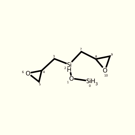 [SiH3]O[SiH](CC1CO1)CC1CO1